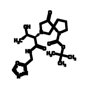 C[C@@H](O)[C@@H](C(=O)NCc1nnco1)N1CC(=O)C2(CCCN2C(=O)OC(C)(C)C)C1